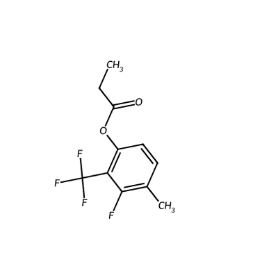 CCC(=O)Oc1ccc(C)c(F)c1C(F)(F)F